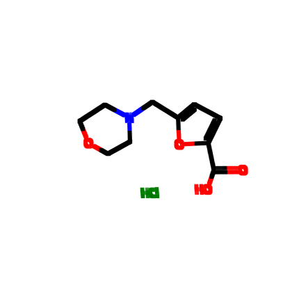 Cl.O=C(O)c1ccc(CN2CCOCC2)o1